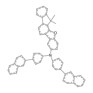 CC1(C)c2ccccc2-c2ccc3c(oc4ccc(N(c5ccc(-c6ccc7ccccc7c6)cc5)c5ccc(-c6ccc7ccccc7c6)cc5)cc43)c21